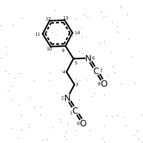 O=C=NCCC(N=C=O)c1ccccc1